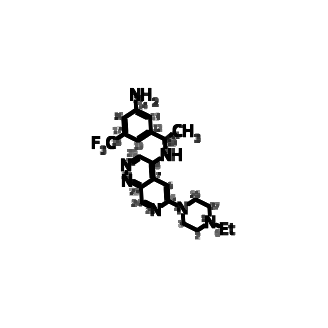 CCN1CCN(c2cc3c(N[C@H](C)c4cc(N)cc(C(F)(F)F)c4)cnnc3cn2)CC1